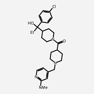 CCC(O)(c1ccc(Cl)cc1)C1CCN(C(=O)C2CCN(Cc3ccnc(NC)c3)CC2)CC1